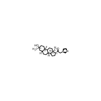 C[C@@]1(O)CC[C@]2(F)C3CC[C@]4(C)[C@@H](C(=O)Cn5ccnc5)CC[C@H]4[C@@H]3CC[C@@H]2C1